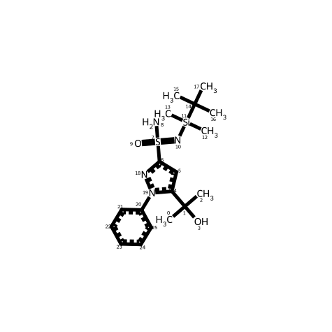 CC(C)(O)c1cc(S(N)(=O)=N[Si](C)(C)C(C)(C)C)nn1-c1ccccc1